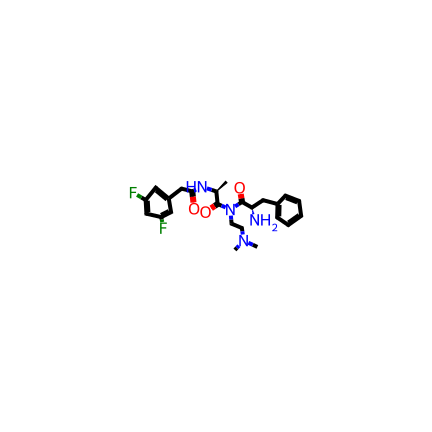 C[C@H](NC(=O)Cc1cc(F)cc(F)c1)C(=O)N(CCN(C)C)C(=O)[C@@H](N)Cc1ccccc1